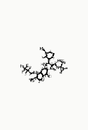 Cc1c(C#N)cccc1[C@H](Nc1cc(Cl)c2ncc(C#N)c(NCC(C)(C)C(F)(F)F)c2c1)c1cn(C2(C(F)F)CC2)nn1